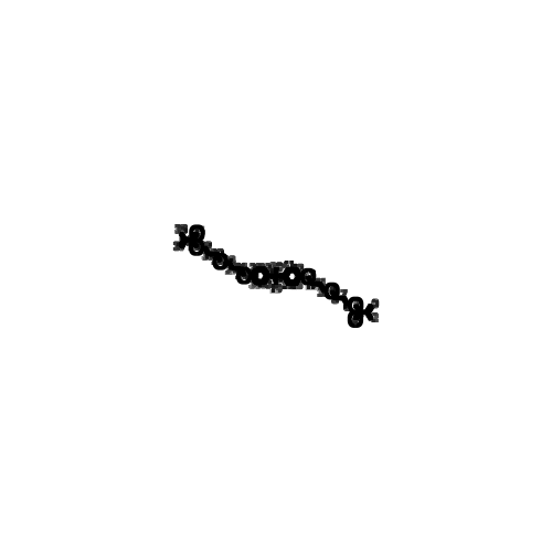 C=C(C)C(=O)OCCCOCCCOc1ccc(C(C)(C)c2ccc(OCCCOCCCOC(=O)C(=C)C)cc2)cc1